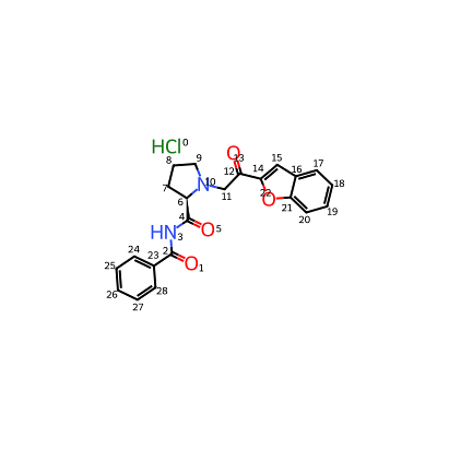 Cl.O=C(NC(=O)[C@H]1CCCN1CC(=O)c1cc2ccccc2o1)c1ccccc1